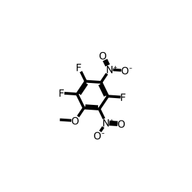 COc1c(F)c(F)c([N+](=O)[O-])c(F)c1[N+](=O)[O-]